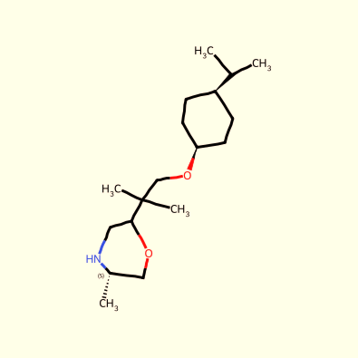 CC(C)[C@H]1CC[C@@H](OCC(C)(C)C2CN[C@@H](C)CO2)CC1